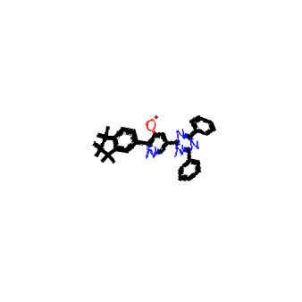 COc1cc(-c2nc(-c3ccccc3)nc(-c3ccccc3)n2)cnc1-c1ccc2c(c1)C(C)(C)C(C)(C)C2(C)C